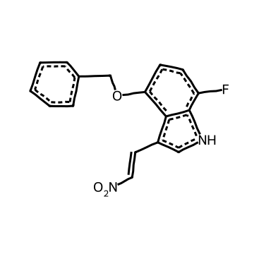 O=[N+]([O-])/C=C/c1c[nH]c2c(F)ccc(OCc3ccccc3)c12